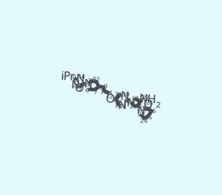 CC(C)c1noc(N2CCC(CCCOc3cnc(N4C[C@H](N)[C@@H](N5CCCCC5=O)C4)nc3)CC2)n1